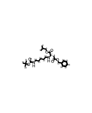 CC(C)COC(=O)[C@H](CC(=O)OCc1ccccc1)NCCCCCNC(=O)OC(C)(C)C